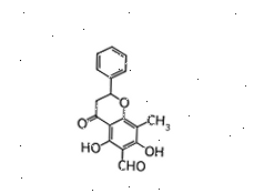 Cc1c(O)c(C=O)c(O)c2c1OC(c1ccccc1)CC2=O